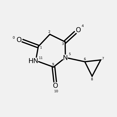 O=C1CC(=O)N(C2CC2)C(=O)N1